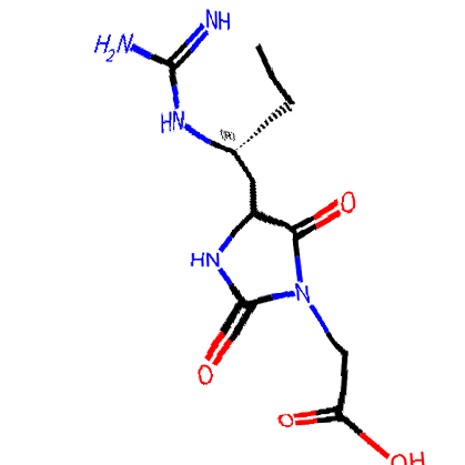 CC[C@@H](NC(=N)N)C1NC(=O)N(CC(=O)O)C1=O